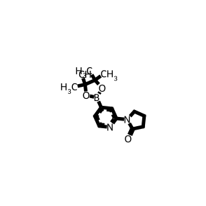 CC1(C)OB(c2ccnc(N3CCCC3=O)c2)OC1(C)C